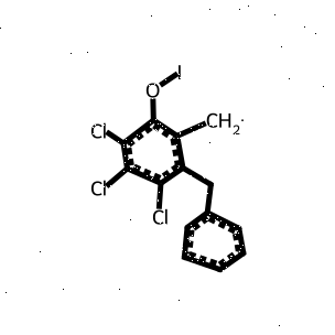 [CH2]c1c(Cc2ccccc2)c(Cl)c(Cl)c(Cl)c1OI